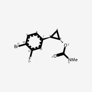 CNC(=O)O[C@H]1C[C@@H]1c1ccc(Br)c(F)c1